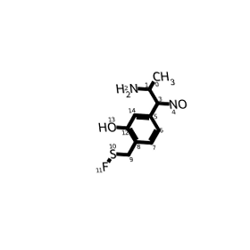 CC(N)C(N=O)c1ccc(CSF)c(O)c1